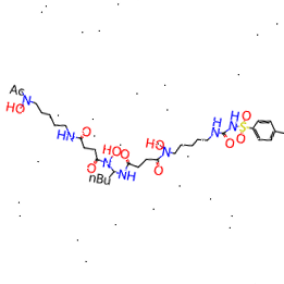 CCCCC(NC(=O)CCC(=O)N(O)CCCCCNC(=O)NS(=O)(=O)c1ccc(C)cc1)N(O)C(=O)CCC(=O)NCCCCCN(O)C(C)=O